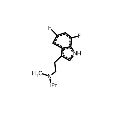 CC(C)N(C)CCc1c[nH]c2c(F)cc(F)cc12